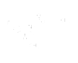 CCCCCOC(=O)C1CCn2c1cc(CCC)c2C(=O)c1ccc(F)cc1